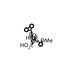 COc1ccccc1CNC(=O)[C@H](CCC(=O)O)NC(=O)OCC1c2ccccc2-c2ccccc21